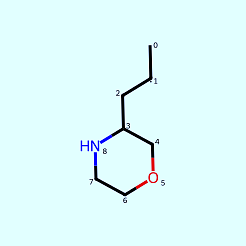 C[CH]CC1COCCN1